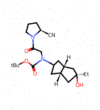 CC[C@@]1(O)C[C@H]2CC(N(CC(=O)N3CCC[C@H]3C#N)C(=O)OC(C)(C)C)C[C@H]2C1